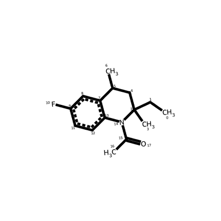 CCC1(C)CC(C)c2cc(F)ccc2N1C(C)=O